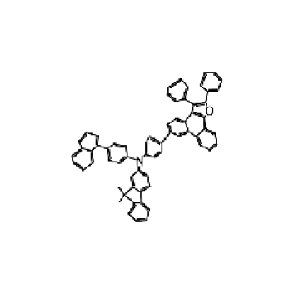 CC1(C)c2ccccc2-c2ccc(N(c3ccc(-c4ccc5c(c4)c4ccccc4c4oc(-c6ccccc6)c(-c6ccccc6)c54)cc3)c3ccc(-c4cccc5ccccc45)cc3)cc21